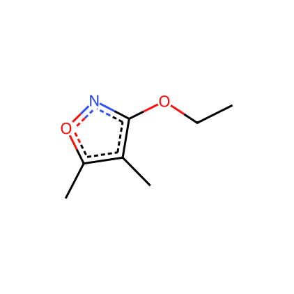 CCOc1noc(C)c1C